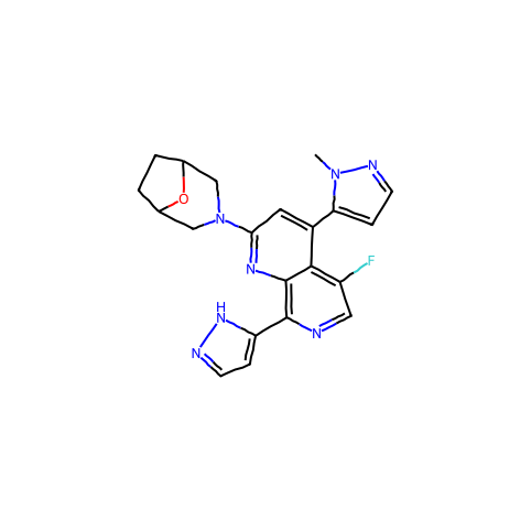 Cn1nccc1-c1cc(N2CC3CCC(C2)O3)nc2c(-c3ccn[nH]3)ncc(F)c12